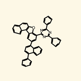 c1ccc(-c2nc(-c3ccccc3)nc(-c3cc(-c4ccc(-c5ccccc5)c5ccccc45)cc4c3oc3ccc5ccccc5c34)n2)cc1